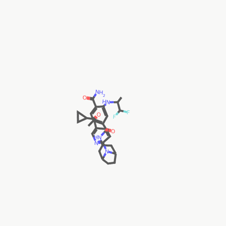 Cc1cc(C(N)=O)c(NC(C)C(F)F)cc1C(=O)NC1CC2CCC(C1)N2c1ccc(C(=O)C2CC2)cn1